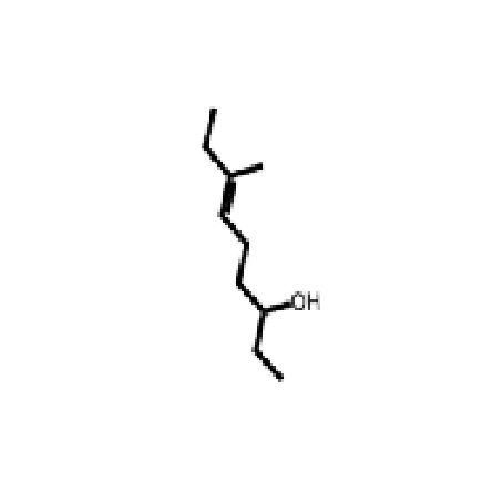 CC/C(C)=C/CCC(O)CC